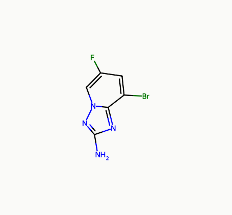 Nc1nc2c(Br)cc(F)cn2n1